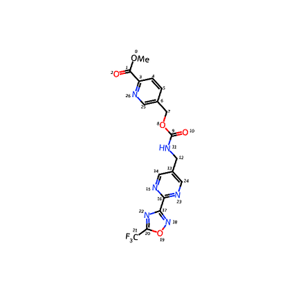 COC(=O)c1ccc(COC(=O)NCc2cnc(-c3noc(C(F)(F)F)n3)nc2)cn1